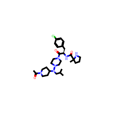 CC(=O)N1CCC(N(CC(C)C)N2CCN(C(=O)[C@@H](Cc3ccc(Cl)cc3)NC(=O)C3(C)CCCN3)CC2)CC1